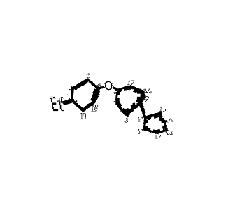 CC[C]1C=CC(Oc2ccc(-c3ccccc3)cc2)=CC1